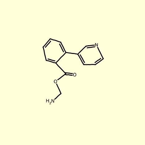 NCOC(=O)c1ccccc1-c1cccnc1